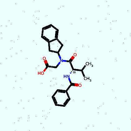 CC(C)[C@H](NC(=O)c1ccccc1)C(=O)N(CC(=O)O)C1Cc2ccccc2C1